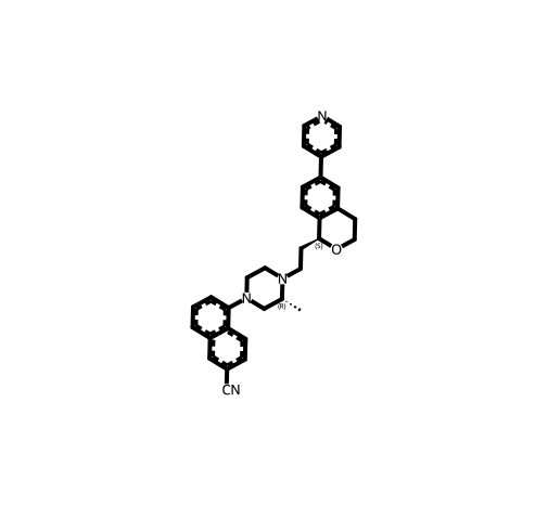 C[C@@H]1CN(c2cccc3cc(C#N)ccc23)CCN1CC[C@@H]1OCCc2cc(-c3ccncc3)ccc21